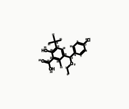 CCOC(c1ccc(Cl)cc1)c1cc(C(C)(C)C)c(O)c(C(=O)O)c1C